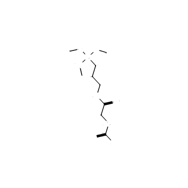 CO[Si](CCCOC(=O)CNC(=S)S)(OC)OC